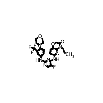 CCCN1C(=O)COc2ccc(Nc3nc(Nc4ccc(N5CCOCC5)c(C(F)(F)F)c4)ncc3F)nc21